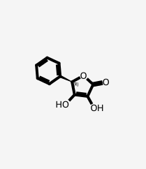 O=C1O[C@H](c2ccccc2)C(O)=C1O